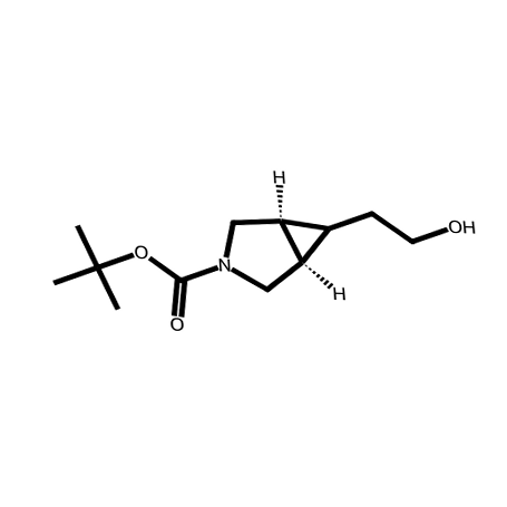 CC(C)(C)OC(=O)N1C[C@@H]2C(CCO)[C@@H]2C1